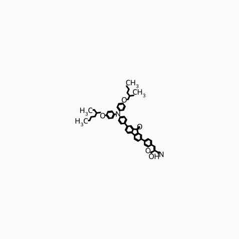 CCCCC(CC)COc1ccc(N(c2ccc(OCC(CC)CCCC)cc2)c2ccc(-c3ccc4c(c3)C(=O)c3cc(-c5ccc(/C=C(/C#N)C(=O)O)cc5)ccc3-4)cc2)cc1